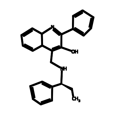 CC[C@H](NCC1=C(O)C(c2ccccc2)=NC2C=CC=CC12)c1ccccc1